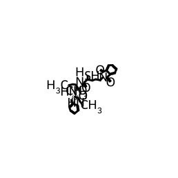 CNC(=O)[C@H](Cc1ccccc1)NC(=O)C(CC(C)C)NC(=O)C(S)CCCN1C(=O)c2ccccc2C1=O